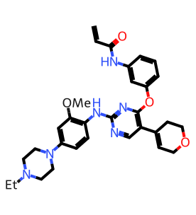 C=CC(=O)Nc1cccc(Oc2nc(Nc3ccc(N4CCN(CC)CC4)cc3OC)ncc2C2=CCOCC2)c1